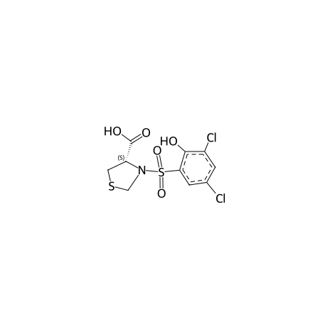 O=C(O)[C@H]1CSCN1S(=O)(=O)c1cc(Cl)cc(Cl)c1O